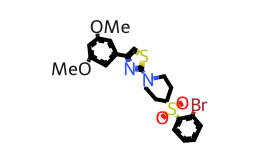 COc1cc(OC)cc(-c2csc(N3CCC(S(=O)(=O)c4ccccc4Br)CC3)n2)c1